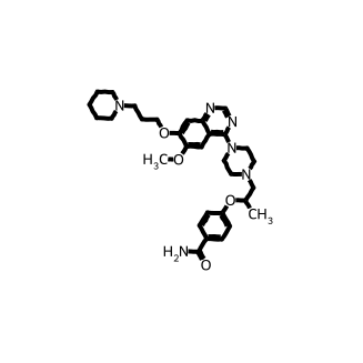 COc1cc2c(N3CCN(CC(C)Oc4ccc(C(N)=O)cc4)CC3)ncnc2cc1OCCCN1CCCCC1